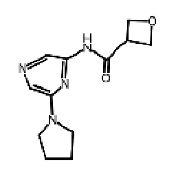 O=C(Nc1cncc(N2CCCC2)n1)C1COC1